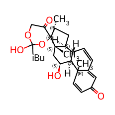 CCC(C)C1(O)OCC(=O)[C@@]2(O1)[C@H](C)C[C@H]1[C@@H]3C=CC4=CC(=O)C=C[C@]4(C)[C@H]3[C@@H](O)C[C@@]12C